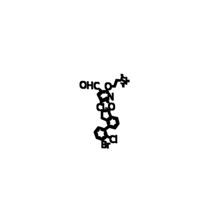 C[Si](C)(C)CCOc1nc(O[C@H]2CCc3c(-c4cccc(Br)c4Cl)cccc32)c(Cl)cc1C=O